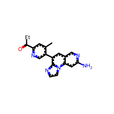 CCC(=O)c1cc(C)c(-c2cc3cnc(N)cc3n3ccnc23)cn1